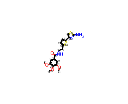 COc1cc(C(=O)NCCc2ccc(-c3csc(N)n3)s2)cc(OC)c1OC